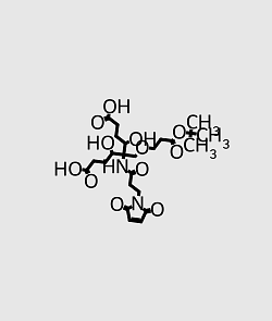 CC(C)(C)OC(=O)CCOCC(NC(=O)CCN1C(=O)C=CC1=O)(C(O)CCC(=O)O)C(O)CCC(=O)O